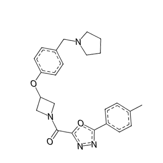 Cc1ccc(-c2nnc(C(=O)N3CC(Oc4ccc(CN5CCCC5)cc4)C3)o2)cc1